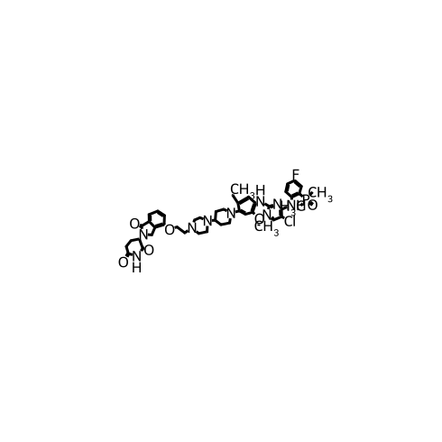 CCc1cc(Nc2ncc(Cl)c(Nc3ccc(F)cc3P(C)(C)=O)n2)c(OC)cc1N1CCC(N2CCN(CCOc3cccc4c3CN(C3CCC(=O)NC3=O)C4=O)CC2)CC1